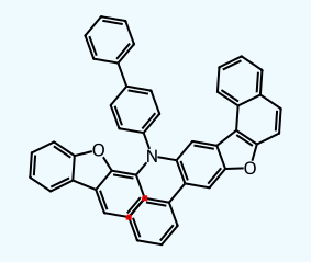 c1ccc(-c2ccc(N(c3cc4c(cc3-c3ccccc3)oc3ccc5ccccc5c34)c3cccc4c3oc3ccccc34)cc2)cc1